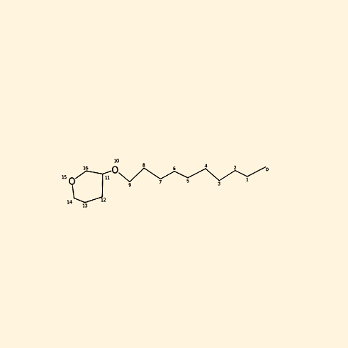 CCCCCCCCCCOC1CCCOC1